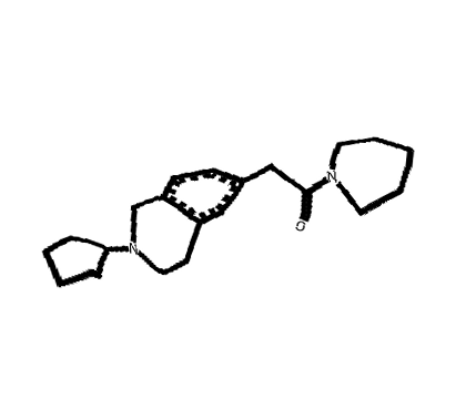 O=C(Cc1ccc2c(c1)CCN(C1CCCC1)C2)N1CCCCC1